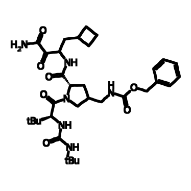 CC(C)(C)NC(=O)N[C@H](C(=O)N1CC(CNC(=O)OCc2ccccc2)C[C@H]1C(=O)NC(CC1CCC1)C(=O)C(N)=O)C(C)(C)C